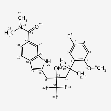 COc1ccc(F)cc1C(C)(C)CC(O)(Cc1cc2ccc(C(=O)N(C)C)cc2[nH]1)C(F)(F)F